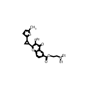 CCCc1c(C2CC2c2ccc(C)s2)oc2ccc(C(=O)OCCN(CC)CC)cc2c1=O